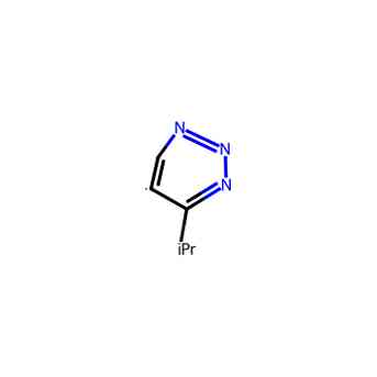 CC(C)c1[c]cnnn1